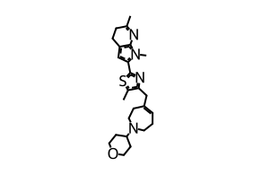 CC1=Nc2c(cc(-c3nc(CC4=CCCN(C5CCOCC5)CC4)c(C)s3)n2C)CC1